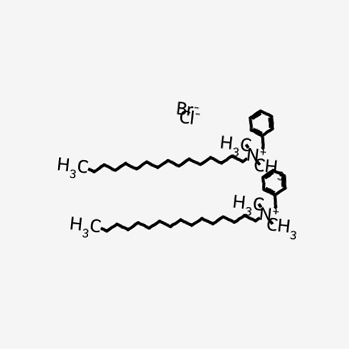 CCCCCCCCCCCCCCCC[N+](C)(C)Cc1ccccc1.CCCCCCCCCCCCCCCC[N+](C)(C)Cc1ccccc1.[Br-].[Cl-]